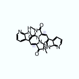 CN1C(=O)/C(=C/c2c[nH]c3ncccc23)N(N2C(=O)N(C)C(=O)/C2=C/c2c[nH]c3ncccc23)C1=O